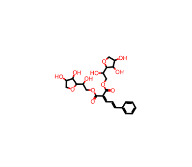 O=C(OCC(O)C1OCC(O)C1O)C(=C/C=C/c1ccccc1)C(=O)OCC(O)C1OCC(O)C1O